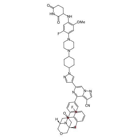 COc1cc(N2CCN(C3CCC(n4cc(-c5cn6ncc(C#N)c6c(-c6ccc(N7C[C@H]8COC[C@@H](C7)N8C(=O)c7c(F)cccc7F)nc6)n5)cn4)CC3)CC2)c(F)cc1NC1CCC(=O)NC1=O